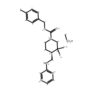 CS(=O)(=O)O.Cc1ccc(COC(=O)N2CC[C@H](CNc3cnccn3)C(F)(F)C2)cc1